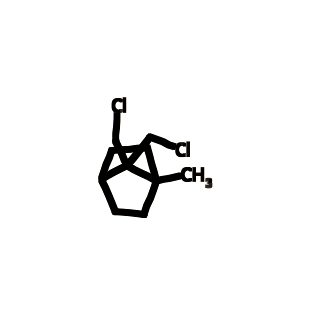 CC12CCC(CC1)C2(CCl)CCl